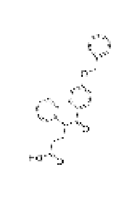 O=C(O)CCC(C(=O)c1ccc(OCc2ccccc2)cc1)c1ccccc1